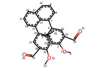 COc1cc(C)c(-c2cccc3cccc(-c4cc(C=O)c(OC)cc4C)c23)cc1C=O